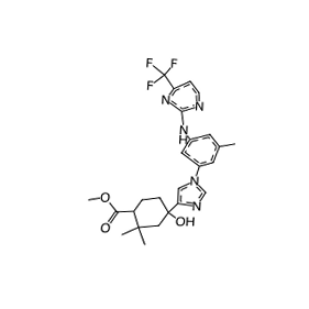 COC(=O)C1CCC(O)(c2cn(-c3cc(C)cc(Nc4nccc(C(F)(F)F)n4)c3)cn2)CC1(C)C